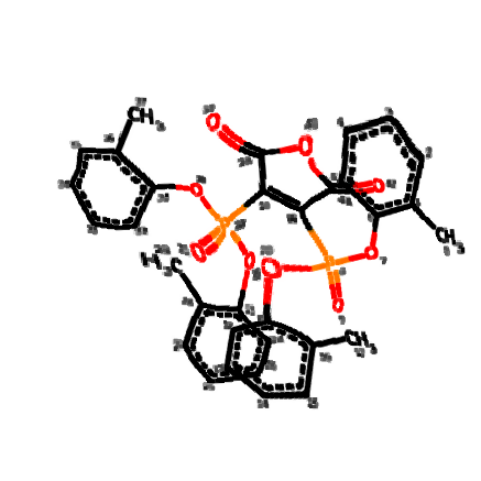 Cc1ccccc1OP(=O)(Oc1ccccc1C)C1=C(P(=O)(Oc2ccccc2C)Oc2ccccc2C)C(=O)OC1=O